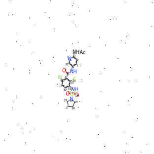 CC(=O)Nc1ccc(NC(=O)c2c(F)ccc(NS(=O)(=O)N3CCCC3)c2F)cn1